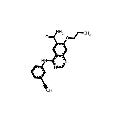 C#Cc1cccc(Nc2ncnc3cc(OCCC)c(C(N)=O)cc23)c1